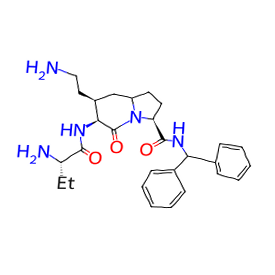 CC[C@H](N)C(=O)N[C@@H]1C(=O)N2C(CC[C@H]2C(=O)NC(c2ccccc2)c2ccccc2)C[C@@H]1CCN